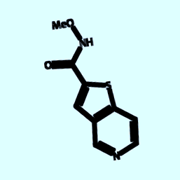 CONC(=O)c1cc2cnccc2s1